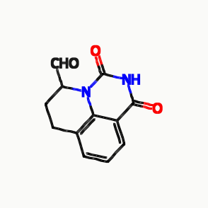 O=CC1CCc2cccc3c(=O)[nH]c(=O)n1c23